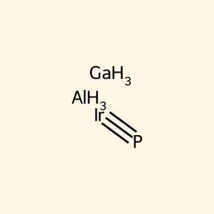 [AlH3].[GaH3].[P]#[Ir]